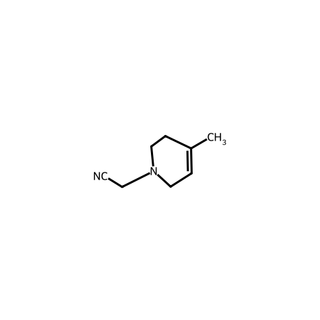 CC1=CCN(CC#N)CC1